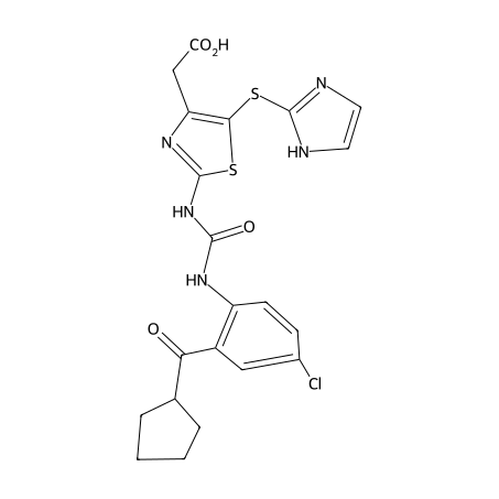 O=C(O)Cc1nc(NC(=O)Nc2ccc(Cl)cc2C(=O)C2CCCC2)sc1Sc1ncc[nH]1